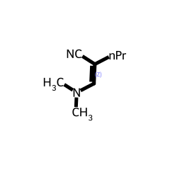 CCC/C(C#N)=C/N(C)C